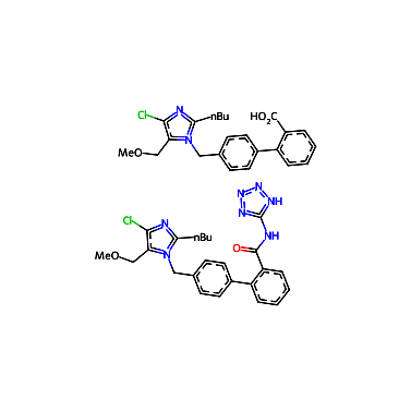 CCCCc1nc(Cl)c(COC)n1Cc1ccc(-c2ccccc2C(=O)Nc2nnn[nH]2)cc1.CCCCc1nc(Cl)c(COC)n1Cc1ccc(-c2ccccc2C(=O)O)cc1